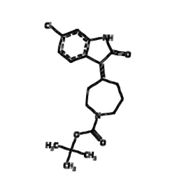 CC(C)(C)OC(=O)N1CCCC(=C2C(=O)Nc3cc(Cl)ccc32)CC1